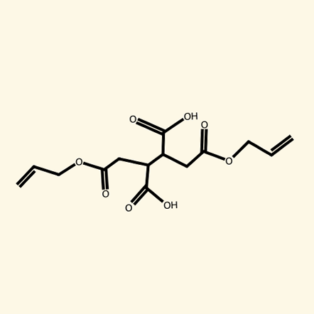 C=CCOC(=O)CC(C(=O)O)C(CC(=O)OCC=C)C(=O)O